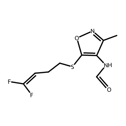 Cc1noc(SCCC=C(F)F)c1NC=O